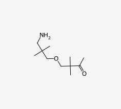 CC(=O)C(C)(C)COCC(C)(C)CN